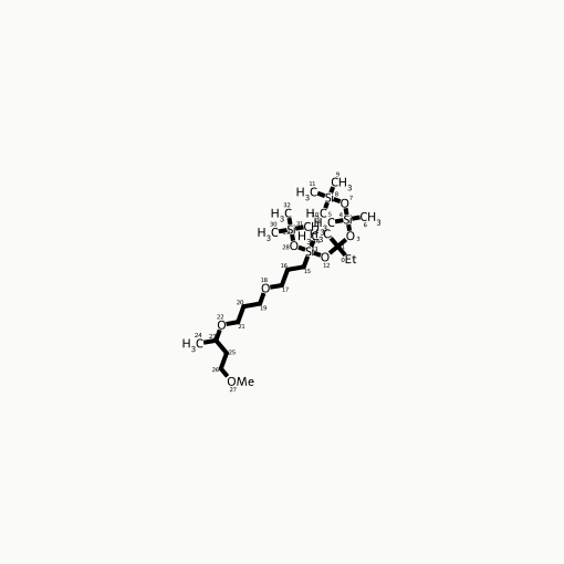 CCC(C)(O[Si](C)(C)O[Si](C)(C)C)O[Si](C)(CCCOCCCOC(C)CCOC)O[Si](C)(C)C